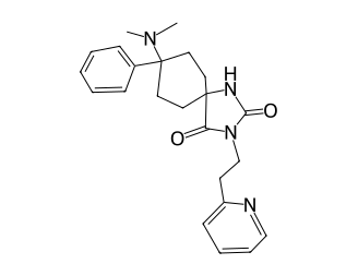 CN(C)C1(c2ccccc2)CCC2(CC1)NC(=O)N(CCc1ccccn1)C2=O